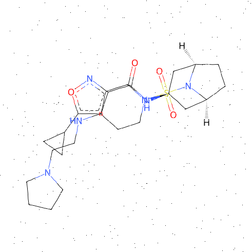 O=C(N[C@H]1C[C@H]2CC[C@@H](C1)N2S(=O)(=O)N1CCC(NCCN2CCCC2)CC1)c1cc(C2CC2)on1